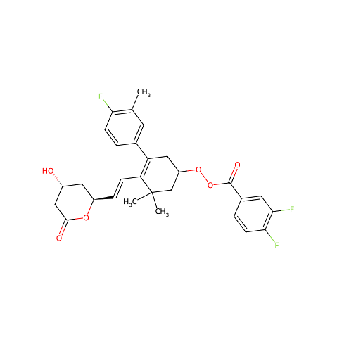 Cc1cc(C2=C(/C=C/[C@@H]3C[C@@H](O)CC(=O)O3)C(C)(C)CC(OOC(=O)c3ccc(F)c(F)c3)C2)ccc1F